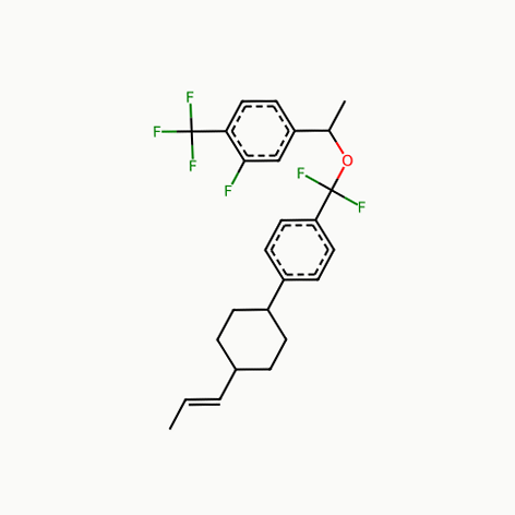 C/C=C/C1CCC(c2ccc(C(F)(F)OC(C)c3ccc(C(F)(F)F)c(F)c3)cc2)CC1